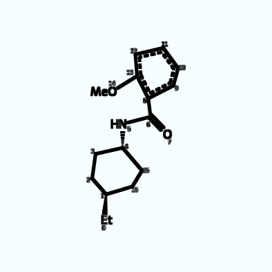 CC[C@H]1CC[C@H](NC(=O)c2ccccc2OC)CC1